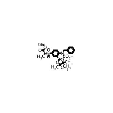 CN(C(=O)OC(C)(C)C)S(=O)(=O)c1ccc(N(Cc2ccccc2)C(=O)O)c(B2OC(C)(C)C(C)(C)O2)c1